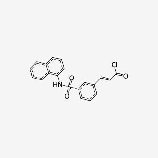 O=C(Cl)/C=C/c1cccc(S(=O)(=O)Nc2cccc3ccccc23)c1